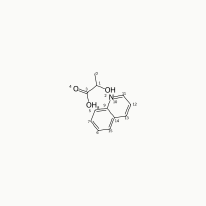 CC(O)C(=O)O.c1ccc2ncccc2c1